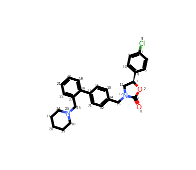 O=C1O[C@H](c2ccc(Cl)cc2)CN1Cc1ccc(-c2ccccc2CN2CCCCC2)cc1